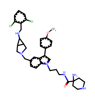 NC1(C(=O)NCCCn2cc(-c3ccc(OC(F)(F)F)cc3)c3cc(CN4CC5C(C4)C5NCc4c(Cl)cccc4Cl)ccc32)CCNCC1